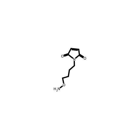 NOCCCCN1C(=O)C=CC1=O